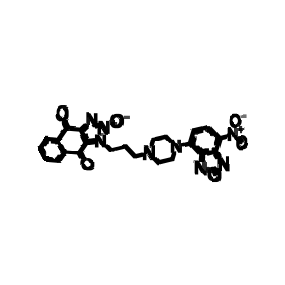 O=C1c2ccccc2C(=O)c2c1n[n+]([O-])n2CCCN1CCN(c2ccc([N+](=O)[O-])c3nonc23)CC1